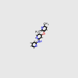 Cc1ccc(Oc2ccnc(Nc3ccccn3)c2)c(C)n1